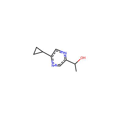 CC(O)c1cnc(C2CC2)cn1